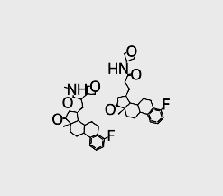 CNC(=O)C(C[C@@H]1CC(=O)[C@@]2(C)CCC3c4cccc(F)c4CCC3C12)C1COC1.C[C@]12CCC3c4cccc(F)c4CCC3C1[C@H](CCC(=O)NC1COC1)CC2=O